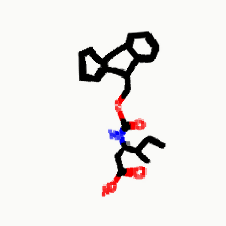 CCC(C)[C@@H](CC(=O)O)NC(=O)OCC1c2ccccc2-c2ccccc21